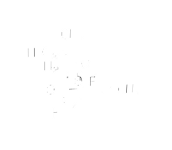 Cc1ccc(S(=O)(=O)[C@@]23CC[C@@H](C)[C@@H](C)[C@@H]2COc2c(F)ccc(F)c23)cc1